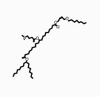 C=C(CCCCCCCCC(CCCCCCCCC(=O)OC/C=C\COCCCCCCCC)OC(=C)CCCN(C)C)OC(CCCCCCC)CCCCCCCC